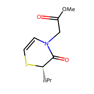 CCC[C@@H]1SC=CN(CC(=O)OC)C1=O